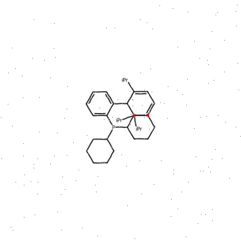 CC(C)C1=CC=CC(C(C)C)(C(C)C)C1c1ccccc1P(C1CCCCC1)C1CCCCC1